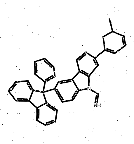 CC1C=CC=C(c2ccc3c4cc(C5(c6ccccc6)c6ccccc6-c6ccccc65)ccc4n(C=N)c3c2)C1